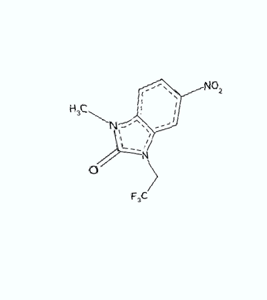 Cn1c(=O)n(CC(F)(F)F)c2cc([N+](=O)[O-])ccc21